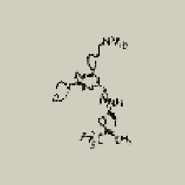 CNCCOc1cc(C=NNc2cc(C)c(C)o2)nc(N2CCOCC2)n1